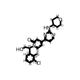 O=c1cc(-c2ccnc(NC3CCOCC3)n2)ccn1C(CO)c1cccc(Cl)c1F